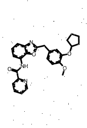 COc1ccc(Cc2nc3cccc(NC(=O)c4ccccn4)c3o2)cc1OC1CCCC1